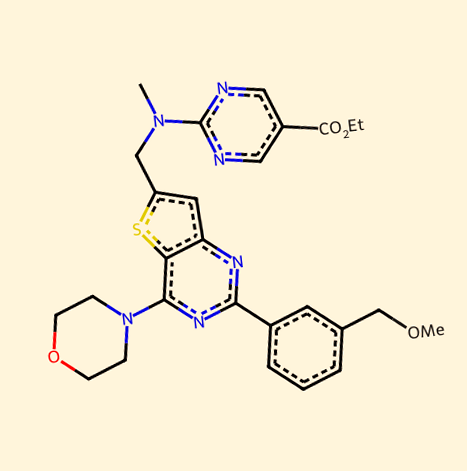 CCOC(=O)c1cnc(N(C)Cc2cc3nc(-c4cccc(COC)c4)nc(N4CCOCC4)c3s2)nc1